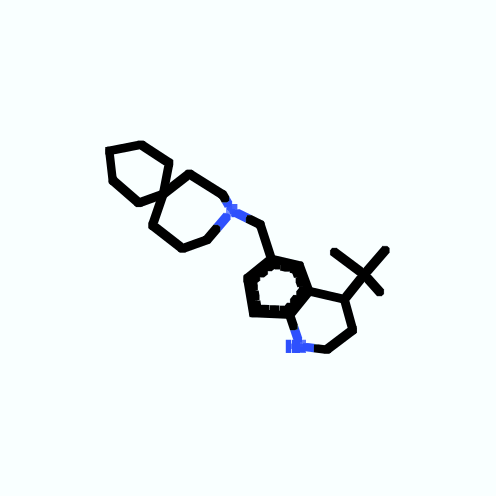 CC(C)(C)C1CCNc2ccc(CN3CCCC4(CCCCC4)CC3)cc21